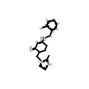 Cc1nccn1CC1CCC(NCc2ccccc2I)=CC1=O